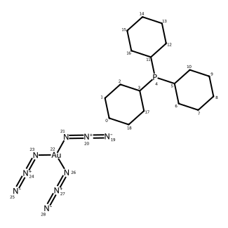 C1CCC(P(C2CCCCC2)C2CCCCC2)CC1.[N-]=[N+]=[N][Au]([N]=[N+]=[N-])[N]=[N+]=[N-]